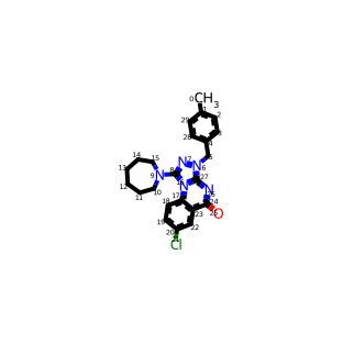 Cc1ccc(Cn2nc(N3CCCCCC3)n3c4ccc(Cl)cc4c(=O)nc23)cc1